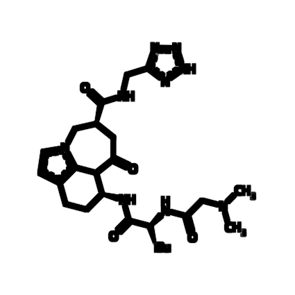 CC[C@H](C)[C@H](NC(=O)CN(C)C)C(=O)N[C@H]1CCc2ccn3c2C1C(=O)C[C@H](C(=O)NCc1nn[nH]n1)C3